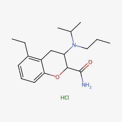 CCCN(C(C)C)C1Cc2c(CC)cccc2OC1C(N)=O.Cl